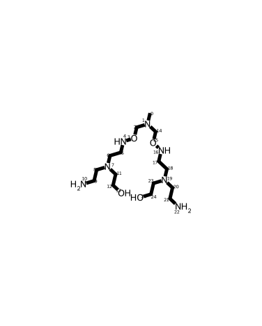 CN(CONCCN(CCN)CCO)CONCCN(CCN)CCO